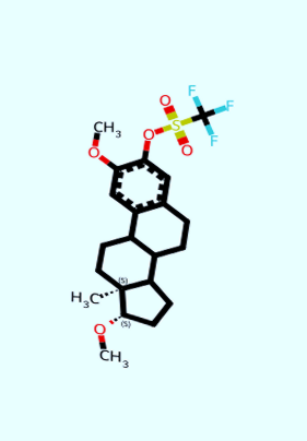 COc1cc2c(cc1OS(=O)(=O)C(F)(F)F)CCC1C2CC[C@@]2(C)C1CC[C@@H]2OC